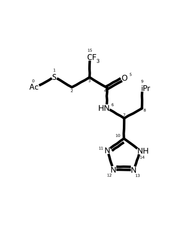 CC(=O)SCC(C(=O)NC(CC(C)C)c1nnn[nH]1)C(F)(F)F